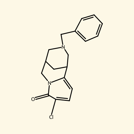 O=c1c(Cl)ccc2n1CC1CC2CN(Cc2ccccc2)C1